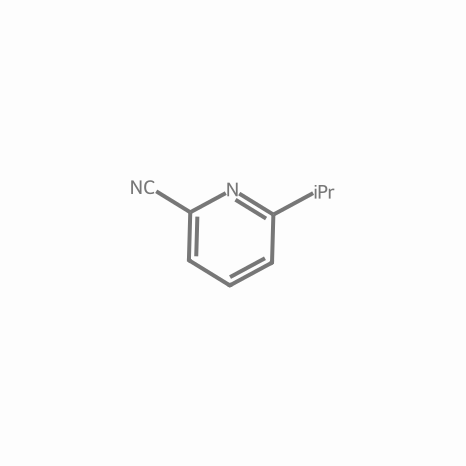 CC(C)c1cccc(C#N)n1